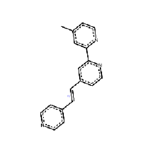 Cc1ccnc(-c2cc(/C=C/c3ccncc3)ccn2)c1